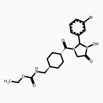 CCOC(=O)NC[C@H]1CC[C@H](C(=O)N2CC(=O)N(O)C2c2cccc(Br)c2)CC1